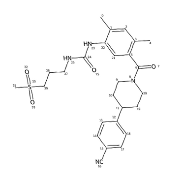 Cc1cc(C)c(C(=O)N2CCC(c3ccc(C#N)cc3)CC2)cc1NC(=O)NCCCS(C)(=O)=O